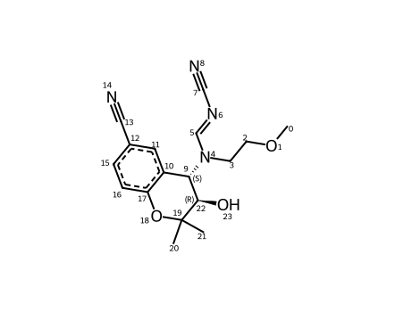 COCCN(C=NC#N)[C@H]1c2cc(C#N)ccc2OC(C)(C)[C@@H]1O